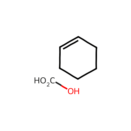 C1=CCCCC1.O=C(O)O